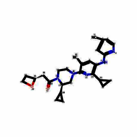 N#Cc1ccnc(Nc2cc(C#N)c(N3CCN(C(=O)C[C@H]4CCO4)[C@H](C4CC4)C3)nc2C2CC2)c1